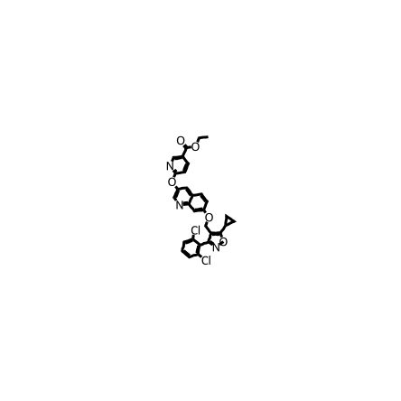 CCOC(=O)c1ccc(Oc2cnc3cc(OCc4c(-c5c(Cl)cccc5Cl)noc4C4CC4)ccc3c2)nc1